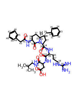 CC(C)CNC(=O)C(CC(=O)O)NC(=O)[C@H](CCCNC(=N)N)NC(=O)C1C[C@@H](Cc2ccccc2)[C@@H]2CCC(NC(=O)Cc3ccccc3)C(=O)N12